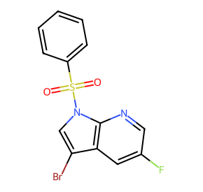 O=S(=O)(c1ccccc1)n1cc(Br)c2cc(F)cnc21